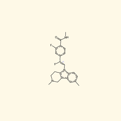 CNC(=O)c1ccc(/C(F)=C/n2c3c(c4cc(C)ccc42)CN(C)CC3)cc1F